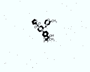 C[C@@H]1CN(C[C@H]2CN(S(=O)(=O)c3cccs3)CCN2c2ccc([C@@](C)(O)C(F)(F)F)cc2)CCO1